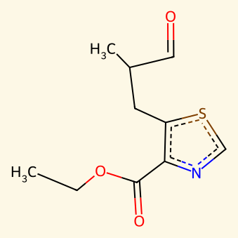 CCOC(=O)c1ncsc1CC(C)C=O